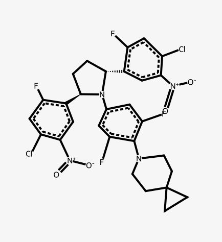 O=[N+]([O-])c1cc([C@H]2CC[C@H](c3cc([N+](=O)[O-])c(Cl)cc3F)N2c2cc(F)c(N3CCC4(CC3)CC4)c(F)c2)c(F)cc1Cl